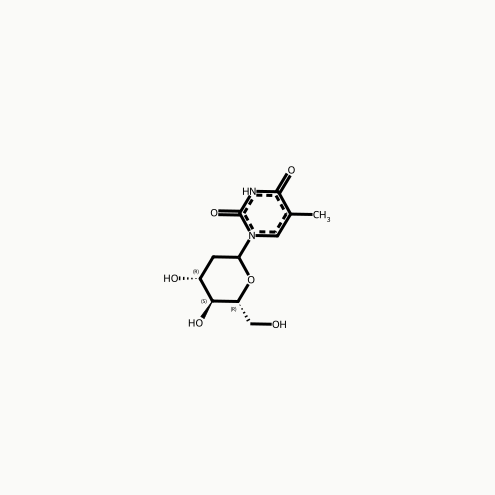 Cc1cn(C2C[C@@H](O)[C@H](O)[C@@H](CO)O2)c(=O)[nH]c1=O